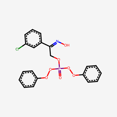 O=P(OCC(=NO)c1cccc(Cl)c1)(OOc1ccccc1)OOc1ccccc1